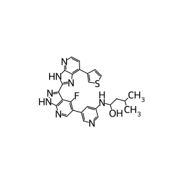 CC(C)CC(O)Nc1cncc(-c2cnc3[nH]nc(-c4nc5c(-c6ccsc6)ccnc5[nH]4)c3c2F)c1